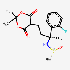 CC1(C)OC(=O)C(CC[C@](C)(N[S@+]([O-])C(C)(C)C)c2ccccc2F)C(=O)O1